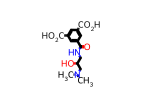 CN(C)CC(O)CNC(=O)c1cc(C(=O)O)cc(C(=O)O)c1